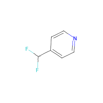 F[C](F)c1ccncc1